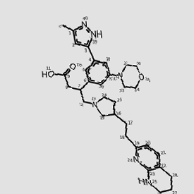 Cc1cc(-c2cc(C(CC(=O)O)CN3CCC(CCc4ccc5c(n4)NCCC5)C3)cc(N3CCOCC3)c2)[nH]n1